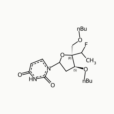 CCCCOC[C@@]1(C(C)F)OC(n2ccc(=O)[nH]c2=O)C[C@@H]1OCCCC